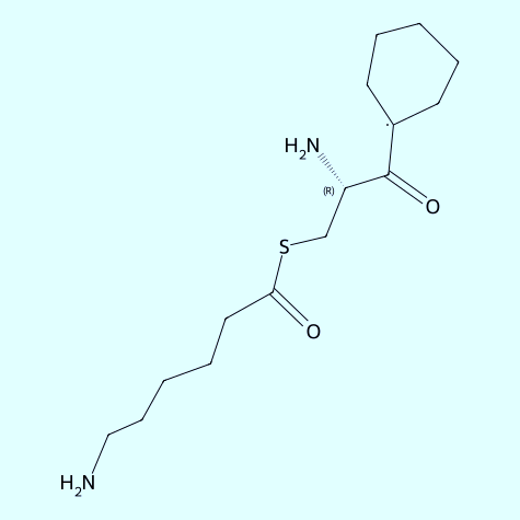 NCCCCCC(=O)SC[C@H](N)C(=O)[C]1CCCCC1